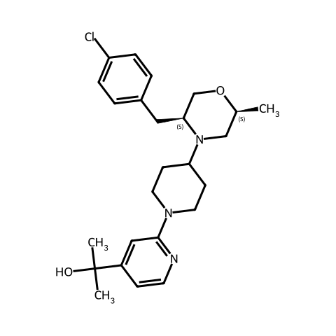 C[C@H]1CN(C2CCN(c3cc(C(C)(C)O)ccn3)CC2)[C@@H](Cc2ccc(Cl)cc2)CO1